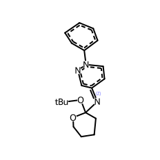 CC(C)(C)OC1(/N=c2/ccn(-c3ccccc3)nc2)CCCCO1